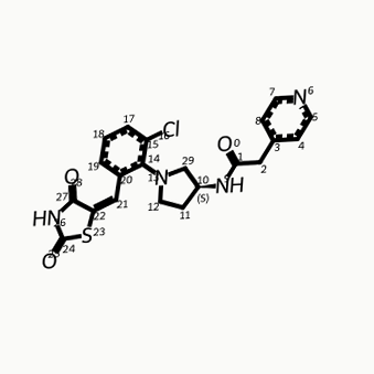 O=C(Cc1ccncc1)N[C@H]1CCN(c2c(Cl)cccc2C=C2SC(=O)NC2=O)C1